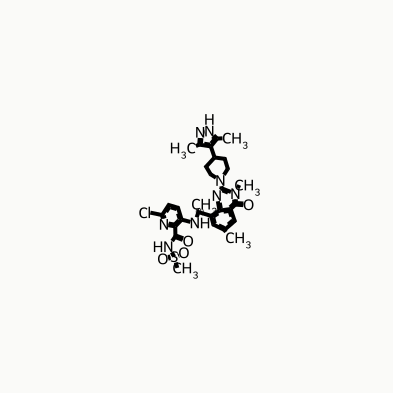 Cc1cc([C@@H](C)Nc2ccc(Cl)nc2C(=O)NS(C)(=O)=O)c2nc(N3CCC(c4c(C)n[nH]c4C)CC3)n(C)c(=O)c2c1